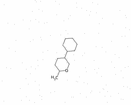 CC1CCC(C2CCCCC2)CO1